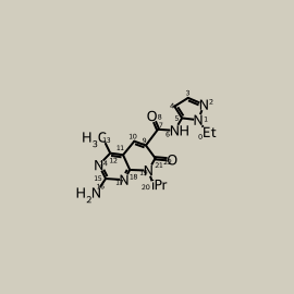 CCn1nccc1NC(=O)c1cc2c(C)nc(N)nc2n(C(C)C)c1=O